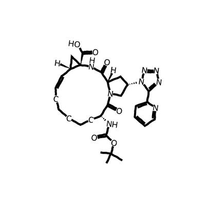 CC(C)(C)OC(=O)N[C@@H]1CCCCC/C=C\[C@@H]2C[C@]2(C(=O)O)NC(=O)[C@@H]2C[C@H](n3nnnc3-c3ccccn3)CN2C1=O